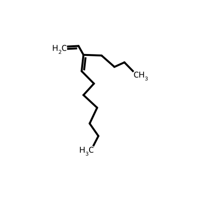 C=CC(=CCCCCCC)CCCC